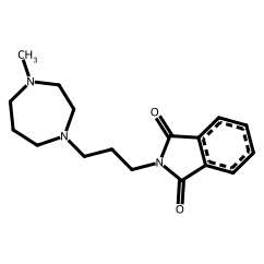 CN1CCCN(CCCN2C(=O)c3ccccc3C2=O)CC1